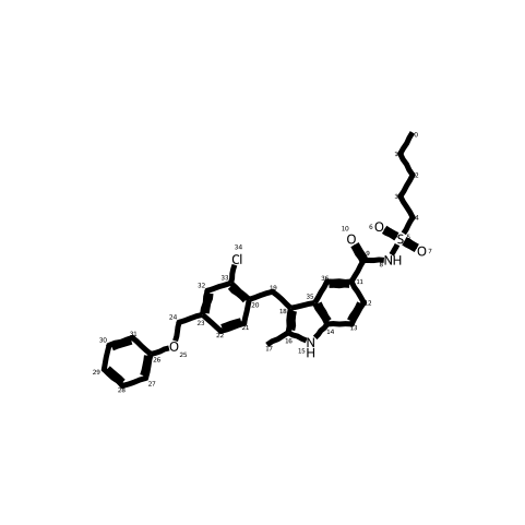 CCCCCS(=O)(=O)NC(=O)c1ccc2[nH]c(C)c(Cc3ccc(COc4ccccc4)cc3Cl)c2c1